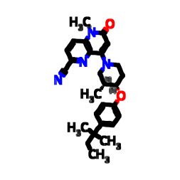 CCC(C)(C)c1ccc(O[C@H]2CCN(c3cc(=O)n(C)c4ccc(C#N)nc34)C[C@H]2C)cc1